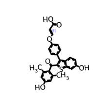 Cc1cc(O)cc(C)c1C(=O)c1sc2cc(O)ccc2c1-c1ccc(O/C=C/C(=O)O)cc1